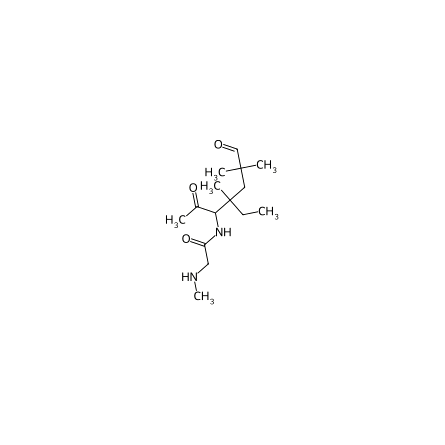 CCC(C)(CC(C)(C)C=O)C(NC(=O)CNC)C(C)=O